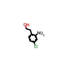 O=[N+]([O-])c1cc(Cl)ccc1CCO